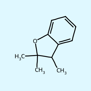 CC1c2ccccc2OC1(C)C